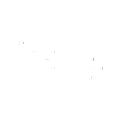 CC(C)(C)C1CCC(OC(=O)/C=C/C(=O)O)CC1